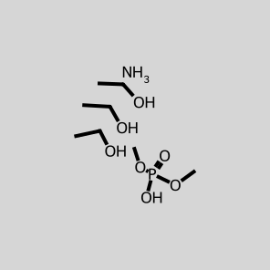 CCO.CCO.CCO.COP(=O)(O)OC.N